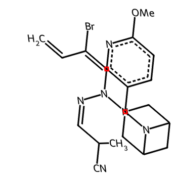 C=C/C(Br)=C\N(/N=C\C(C)C#N)N1CC2CC(C1)N2Cc1ccc(OC)nc1